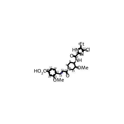 CCc1[nH]c(C(=O)NC2CCN(C(=O)/C=C/c3ccc(C(=O)O)cc3OC)CC2OC)nc1Cl